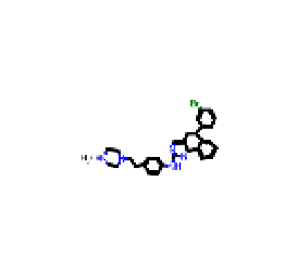 CN1CCN(CCc2ccc(Nc3ncc4c(n3)-c3ccccc3C(c3cccc(Br)c3)C4)cc2)CC1